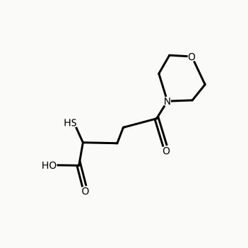 O=C(O)C(S)CCC(=O)N1CCOCC1